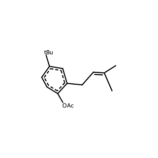 CC(=O)Oc1ccc(C(C)(C)C)cc1CC=C(C)C